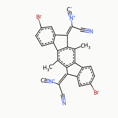 [C-]#[N+]/C(C#N)=C1/c2cc(Br)ccc2-c2c(C)c3c(c(C)c21)-c1ccc(Br)cc1/C3=C(/C#N)[N+]#[C-]